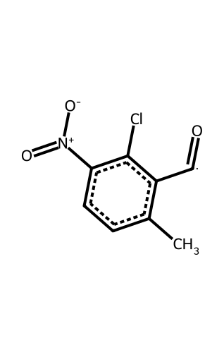 Cc1ccc([N+](=O)[O-])c(Cl)c1[C]=O